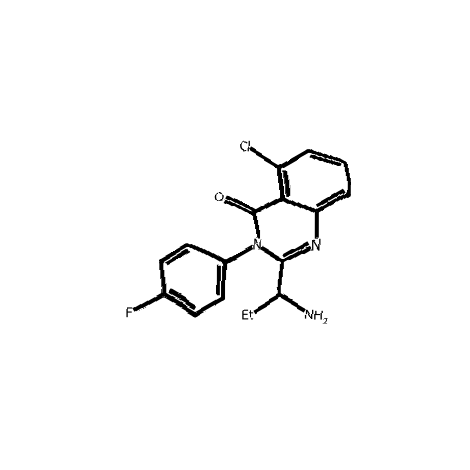 CCC(N)c1nc2cccc(Cl)c2c(=O)n1-c1ccc(F)cc1